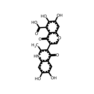 Cc1[nH]c2cc(O)c(O)cc2c(=O)c1-c1coc2cc(O)c(O)c(C(=O)O)c2c1=O